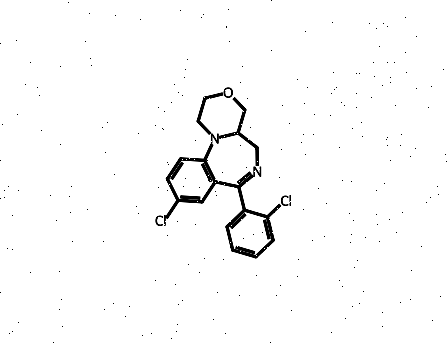 Clc1ccc2c(c1)C(c1ccccc1Cl)=NCC1COCCN21